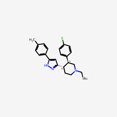 Cc1ccc(-c2cc([C@H]3CCN(CC(C)(C)C)C[C@@H]3c3ccc(F)cc3)n[nH]2)cc1